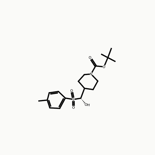 Cc1ccc(S(=O)(=O)[C@@H](O)C2CCN(C(=O)OC(C)(C)C)CC2)cc1